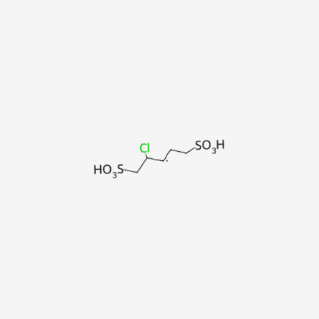 O=S(=O)(O)CC[CH]C(Cl)CS(=O)(=O)O